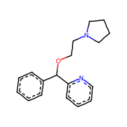 c1ccc(C(OCCN2CCCC2)c2ccccn2)cc1